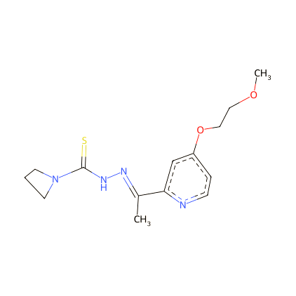 COCCOc1ccnc(/C(C)=N/NC(=S)N2CCC2)c1